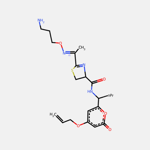 C=CCOc1cc(C(CCC)NC(=O)C2CSC(/C(C)=N/OCCCN)=N2)oc(=O)c1